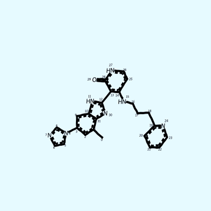 Cc1cc(-n2ccnc2)cc2[nH]c(-c3c(NCCCc4ccccn4)cc[nH]c3=O)nc12